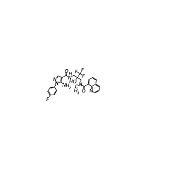 CN(CC(O)(CNC(=O)c1cnn(-c2ccc(F)cc2)c1N)C(F)(F)F)C(=O)c1cccc2cccnc12